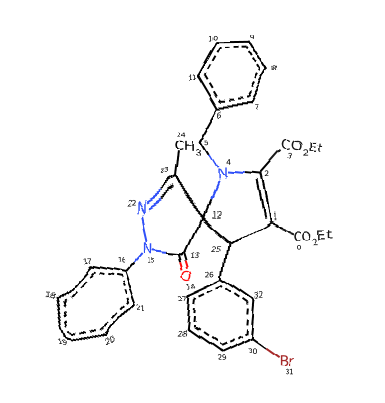 CCOC(=O)C1=C(C(=O)OCC)N(Cc2ccccc2)C2(C(=O)N(c3ccccc3)N=C2C)C1c1cccc(Br)c1